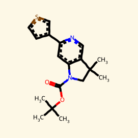 CC(C)(C)OC(=O)N1CC(C)(C)c2cnc(-c3ccsc3)cc21